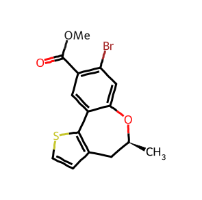 COC(=O)c1cc2c(cc1Br)O[C@@H](C)Cc1ccsc1-2